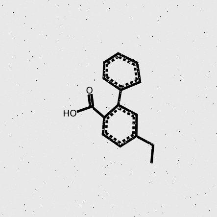 CCc1ccc(C(=O)O)c(-c2ccccc2)c1